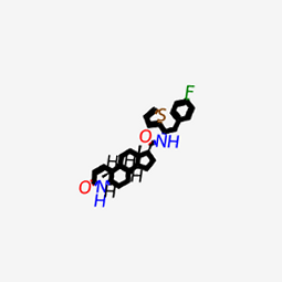 C[C@]12C=CC(=O)N[C@@H]1CC[C@@H]1[C@@H]2CC[C@]2(C)[C@@H](C(=O)NC(Cc3ccc(F)cc3)c3cccs3)CC[C@@H]12